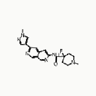 CN1CCC(F)(C(=O)Nc2cc3cc(-c4cnn(C)c4)ncc3cn2)CC1